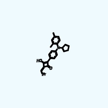 Cc1ccc(N(c2ccc(C3=C(O)/C(=C/C(C)C)C3=O)cc2)C2CCCC2)c(C)c1